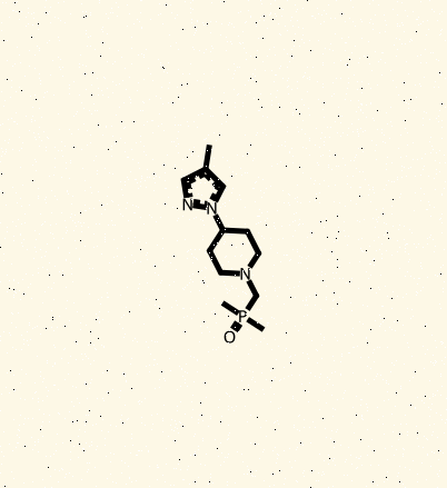 Cc1cnn(C2CCN(CP(C)(C)=O)CC2)c1